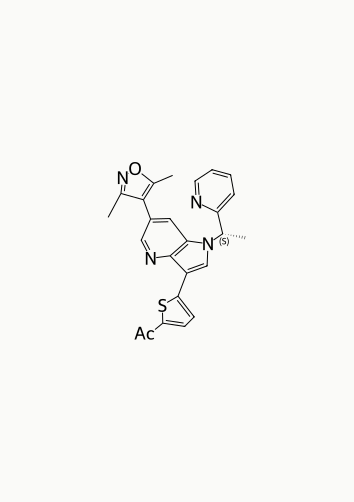 CC(=O)c1ccc(-c2cn([C@@H](C)c3ccccn3)c3cc(-c4c(C)noc4C)cnc23)s1